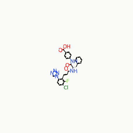 O=C(/C=C/c1c(-n2cnnn2)ccc(Cl)c1F)N[C@@H](Cc1ccccc1)C(=O)Nc1ccc(C(=O)O)cc1